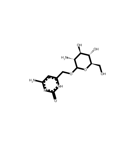 Nc1cc(COC2O[C@H](CO)[C@@H](O)[C@H](O)[C@H]2N)[nH]c(=O)n1